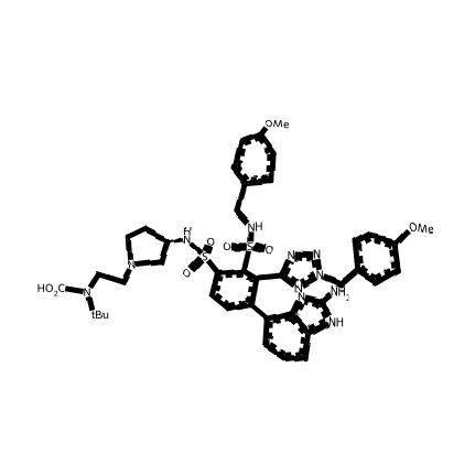 COc1ccc(CNS(=O)(=O)c2c(S(=O)(=O)N[C@@H]3CCN(CCN(C(=O)O)C(C)(C)C)C3)ccc(-c3cccc4[nH]c(N)nc34)c2-c2nnn(Cc3ccc(OC)cc3)n2)cc1